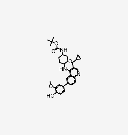 COc1cc(-c2ccc3ncc(C(=O)C4CC4)c(NC4CCC(NC(=O)OC(C)(C)C)CC4)c3c2)ccc1O